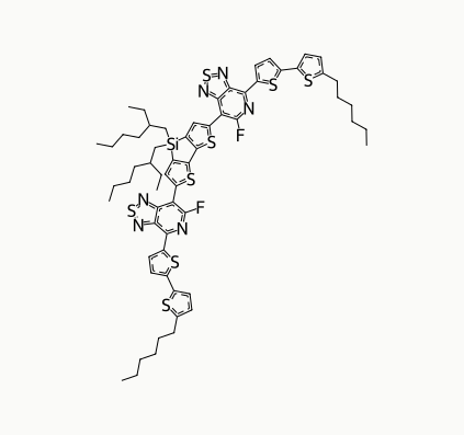 CCCCCCc1ccc(-c2ccc(-c3nc(F)c(-c4cc5c(s4)-c4sc(-c6c(F)nc(-c7ccc(-c8ccc(CCCCCC)s8)s7)c7nsnc67)cc4[Si]5(CC(CC)CCCC)CC(CC)CCCC)c4nsnc34)s2)s1